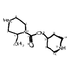 CC1CNCCN1C(=O)OC1CCNCC1